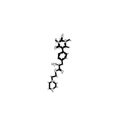 Cc1c(-c2ccc(C[C@H](N)C(=O)OCCN3CCOCC3)cc2)c(=O)n(C)c(=O)n1C